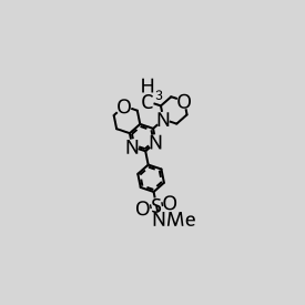 CNS(=O)(=O)c1ccc(-c2nc3c(c(N4CCOCC4C)n2)COCC3)cc1